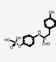 O=C[C@H](Cc1ccc(O)cc1)Nc1ccc(OP(=O)(O)O)cc1